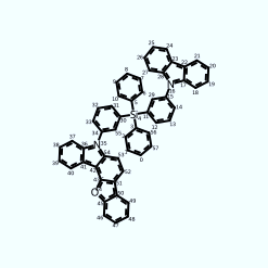 c1ccc([Si](c2ccccc2)(c2cccc(-n3c4ccccc4c4ccccc43)c2)c2cccc(-n3c4ccccc4c4c5oc6ccccc6c5ccc43)c2)cc1